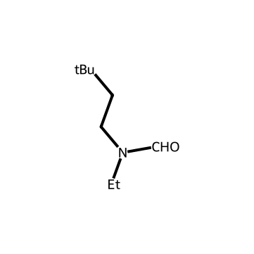 CCN(C=O)CCC(C)(C)C